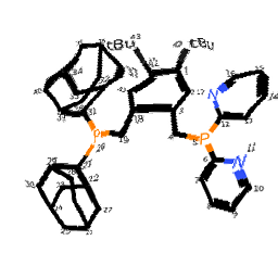 CC(C)(C)c1cc(CP(c2ccccn2)c2ccccn2)c(CP(C2C3CC4CC(C3)CC2C4)C2C3CC4CC(C3)CC2C4)cc1C(C)(C)C